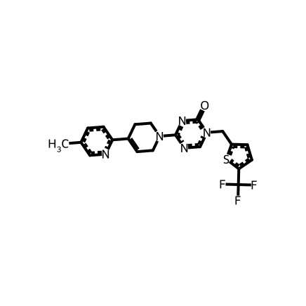 Cc1ccc(C2=CCN(c3ncn(Cc4ccc(C(F)(F)F)s4)c(=O)n3)CC2)nc1